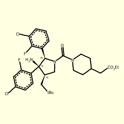 CCOC(=O)CC1CCN(C(=O)N2C[C@@H](CC(C)(C)C)[C@](N)(c3ccc(Cl)cc3F)[C@H]2c2cccc(Cl)c2F)CC1